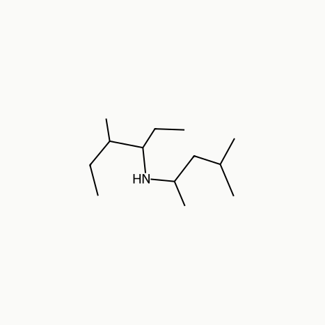 CCC(C)C(CC)NC(C)CC(C)C